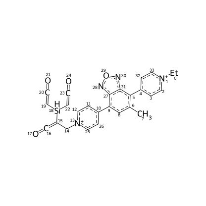 CC[n+]1ccc(-c2c(C)cc(-c3cc[n+](CC(=C=O)[SiH](C=C=O)C=C=O)cc3)c3nonc23)cc1